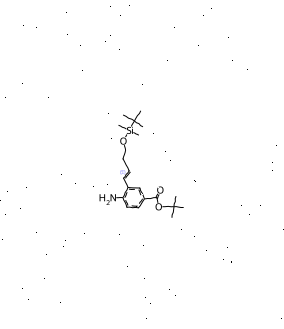 CC(C)(C)OC(=O)c1ccc(N)c(/C=C/CCO[Si](C)(C)C(C)(C)C)c1